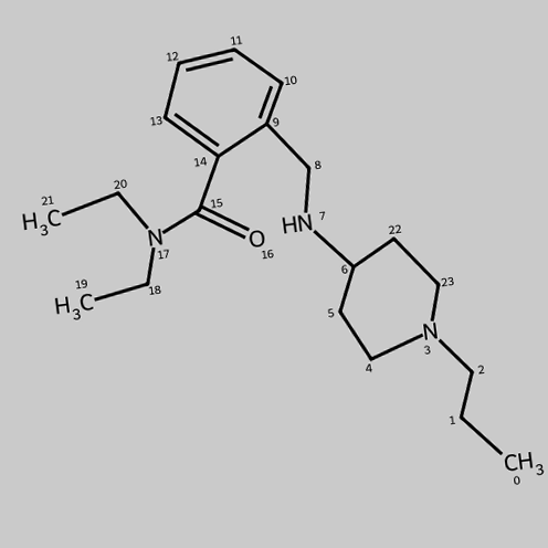 CCCN1CCC(NCc2ccccc2C(=O)N(CC)CC)CC1